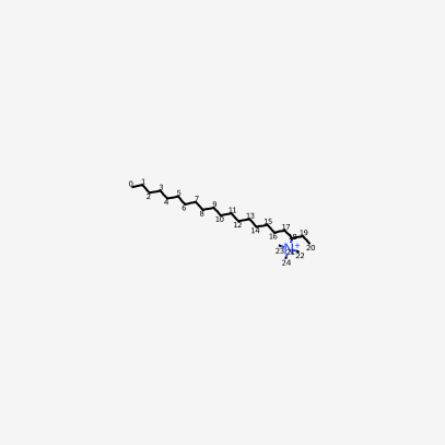 CCCCCCCCCCCCCCCCCCC(CC)[N+](C)(C)C